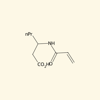 C=CC(=O)NC(CCC)CC(=O)O